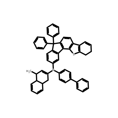 CC1C=C(N(c2ccc(-c3ccccc3)cc2)c2ccc3c(c2)-c2c(ccc4c5c(sc24)CCC=C5)C3(c2ccccc2)c2ccccc2)CC2C=CC=CC12